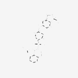 NC(=O)OC1c2ccccc2CCN1S(=O)(=O)c1ccc(Oc2ccc3c(c2)CCC3=O)nc1